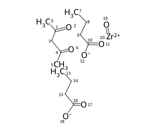 CC(=O)CC(C)=O.CCCC(=O)[O-].CCCC(=O)[O-].[O]=[Zr+2]